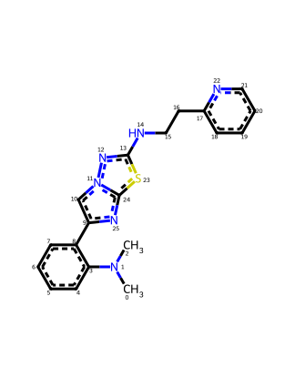 CN(C)c1ccccc1-c1cn2nc(NCCc3ccccn3)sc2n1